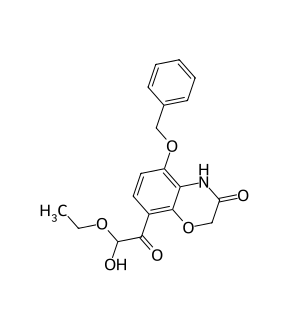 CCOC(O)C(=O)c1ccc(OCc2ccccc2)c2c1OCC(=O)N2